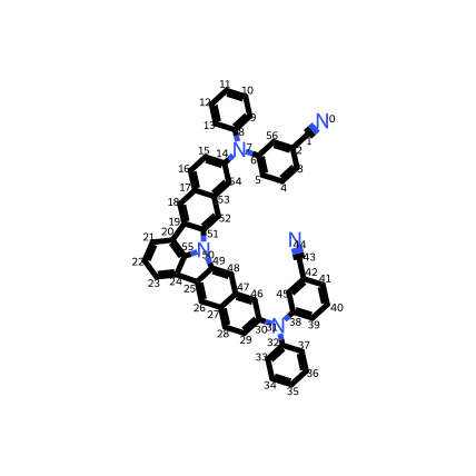 N#Cc1cccc(N(c2ccccc2)c2ccc3cc4c5cccc6c7cc8ccc(N(c9ccccc9)c9cccc(C#N)c9)cc8cc7n(c4cc3c2)c56)c1